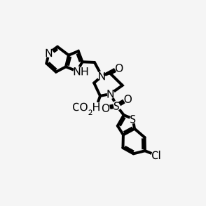 O=C(O)C1CN(Cc2cc3cnccc3[nH]2)C(=O)CN1S(=O)(=O)c1cc2ccc(Cl)cc2s1